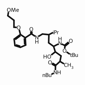 CCCCNC(=O)C(C)CC(O)C(CC(CNC(=O)c1ccccc1OCCCOC)C(C)C)NC(=O)OC(C)(C)C